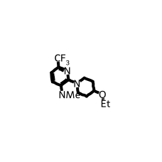 CCOC1CCN(c2nc(C(F)(F)F)ccc2NC)CC1